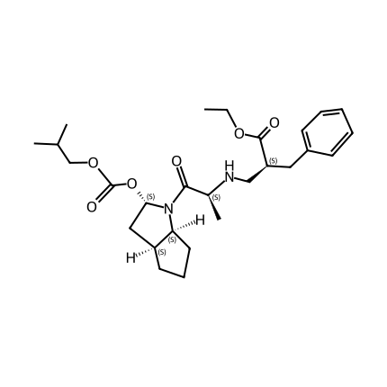 CCOC(=O)[C@H](CN[C@@H](C)C(=O)N1[C@@H](OC(=O)OCC(C)C)C[C@@H]2CCC[C@@H]21)Cc1ccccc1